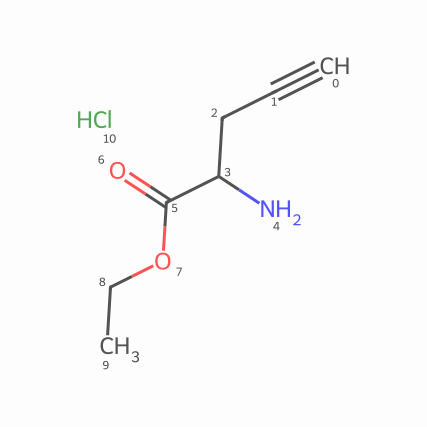 C#CCC(N)C(=O)OCC.Cl